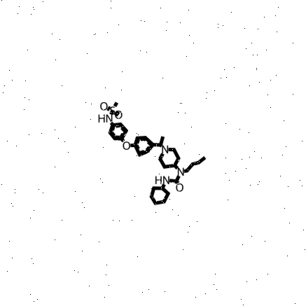 CCCCN(C(=O)NC1CCCCC1)C1CCN(C(C)c2ccc(Oc3ccc(NS(C)(=O)=O)cc3)cc2)CC1